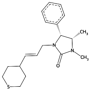 C[C@H]1[C@@H](c2ccccc2)N(C/C=C/C2CCSCC2)C(=O)N1C